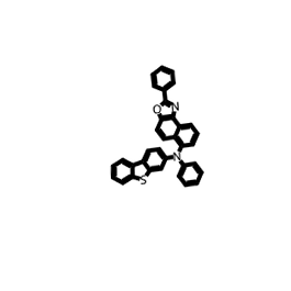 c1ccc(-c2nc3c(ccc4c(N(c5ccccc5)c5ccc6c(c5)sc5ccccc56)cccc43)o2)cc1